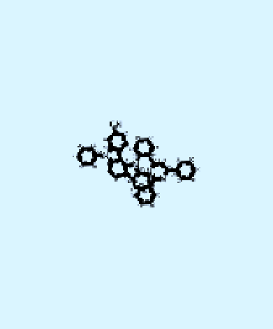 N#Cc1ccc2c3c(ccc4c5ccccc5n(-c5ccccc5-c5cc(-c6ccccc6)nc(-c6ccccc6)n5)c43)n(-c3ccccc3)c2c1